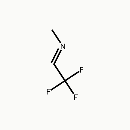 CN=CC(F)(F)F